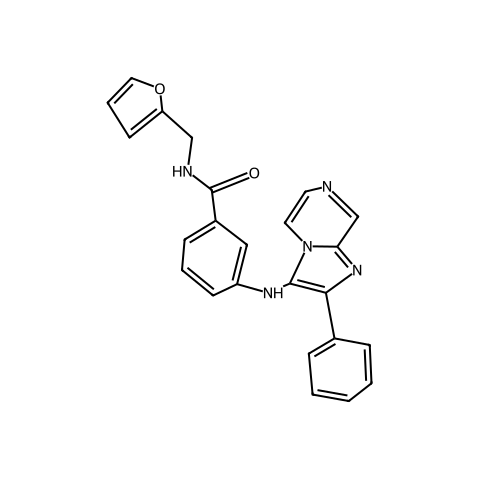 O=C(NCc1ccco1)c1cccc(Nc2c(-c3ccccc3)nc3cnccn23)c1